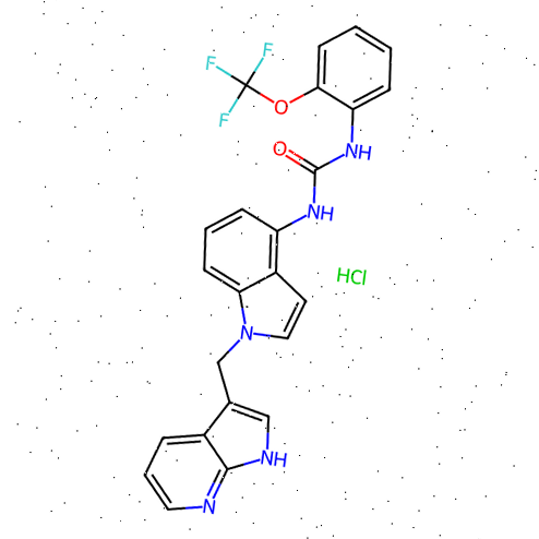 Cl.O=C(Nc1ccccc1OC(F)(F)F)Nc1cccc2c1ccn2Cc1c[nH]c2ncccc12